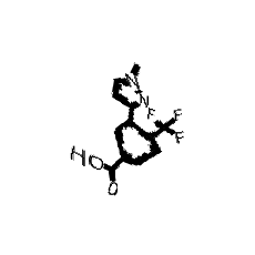 Cn1ccc(-c2cc(C(=O)O)ccc2C(F)(F)F)n1